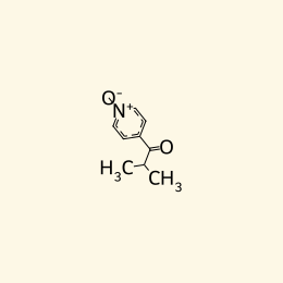 CC(C)C(=O)c1cc[n+]([O-])cc1